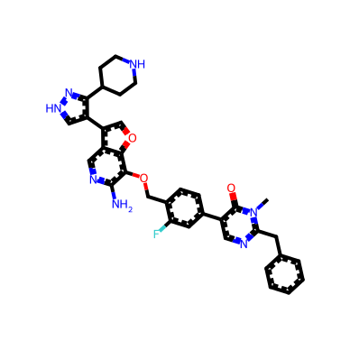 Cn1c(Cc2ccccc2)ncc(-c2ccc(COc3c(N)ncc4c(-c5c[nH]nc5C5CCNCC5)coc34)c(F)c2)c1=O